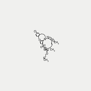 COCCOCC[C@@H]1[C@H](C)C/C=C/[C@H](OC)[C@@H]2CC[C@H]2CN2CCCCc3cc(Cl)ccc3COc3ccc(cc32)C(=O)NS1(=O)=O